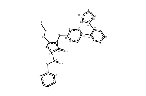 CCCc1cn(C(=O)Cc2ccccc2)c(=O)n1Cc1ccc(-c2ccccc2-c2nnn[nH]2)cc1